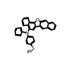 CC(C)Sc1ccc(N(c2ccccc2)c2cc3c4cc5ccccc5cc4oc3c3ccccc23)cc1